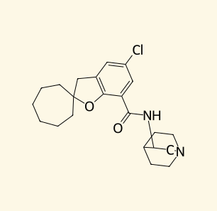 O=C(NC1CN2CCC1CC2)c1cc(Cl)cc2c1OC1(CCCCCC1)C2